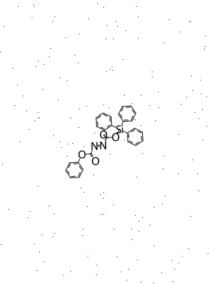 O=C(N=NC(=O)O[Si](c1ccccc1)(c1ccccc1)c1ccccc1)Oc1ccccc1